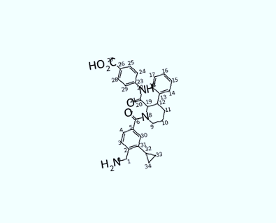 NCc1ccc(C(=O)N2CCCC(c3ccccc3)C2C(=O)Nc2ccc(C(=O)O)cc2)cc1C1CC1